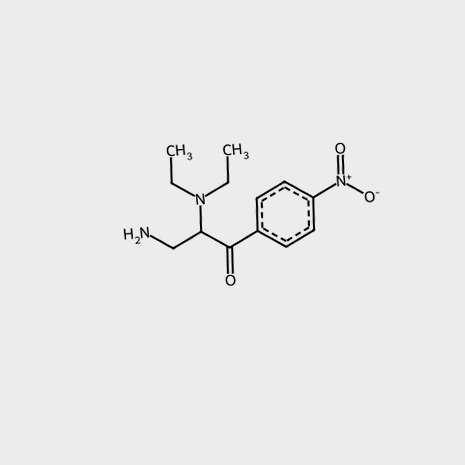 CCN(CC)C(CN)C(=O)c1ccc([N+](=O)[O-])cc1